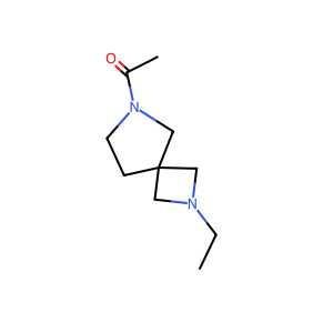 CCN1CC2(CCN(C(C)=O)C2)C1